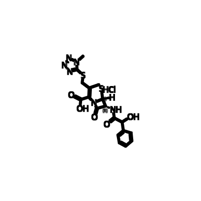 Cl.Cn1nnnc1SCC1=C(C(=O)O)N2C(=O)[C@@H](NC(=O)C(O)c3ccccc3)[C@H]2SC1